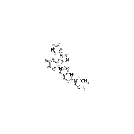 CCN(CC)c1ccc(CN(C(=O)c2cn(-c3cccnc3)nn2)c2ccc(F)cc2)cn1